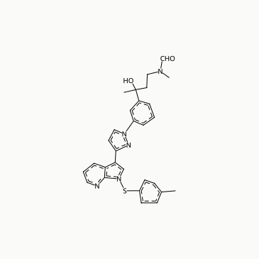 Cc1ccc(Sn2cc(-c3ccn(-c4cccc(C(C)(O)CCN(C)C=O)c4)n3)c3cccnc32)cc1